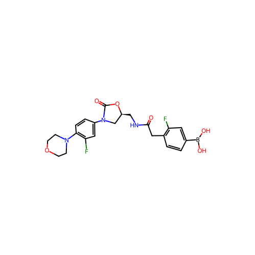 O=C(Cc1ccc(B(O)O)cc1F)NC[C@H]1CN(c2ccc(N3CCOCC3)c(F)c2)C(=O)O1